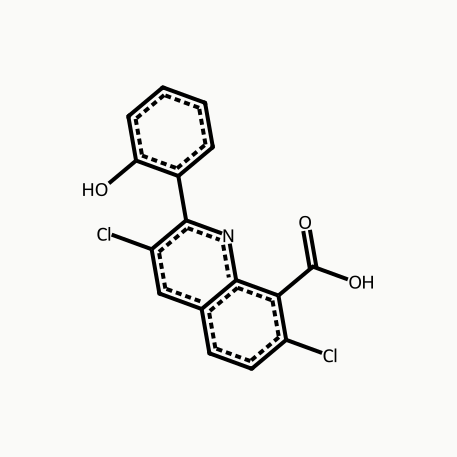 O=C(O)c1c(Cl)ccc2cc(Cl)c(-c3ccccc3O)nc12